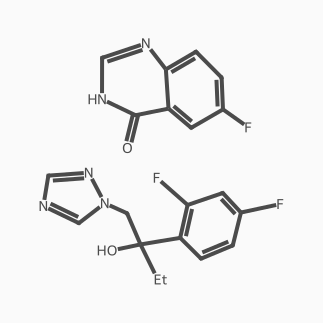 CCC(O)(Cn1cncn1)c1ccc(F)cc1F.O=c1[nH]cnc2ccc(F)cc12